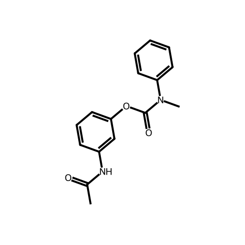 CC(=O)Nc1cccc(OC(=O)N(C)c2ccccc2)c1